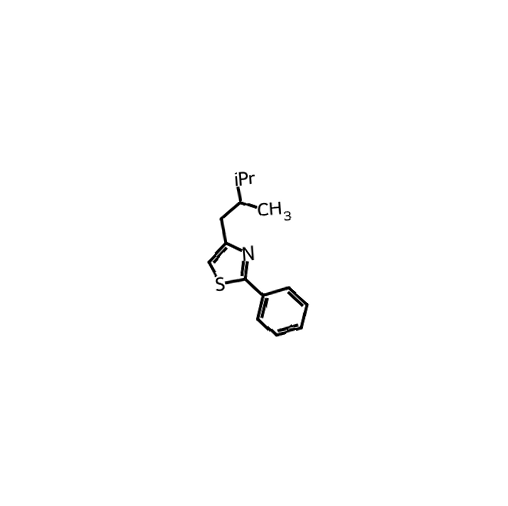 CC(C)C(C)Cc1csc(-c2ccccc2)n1